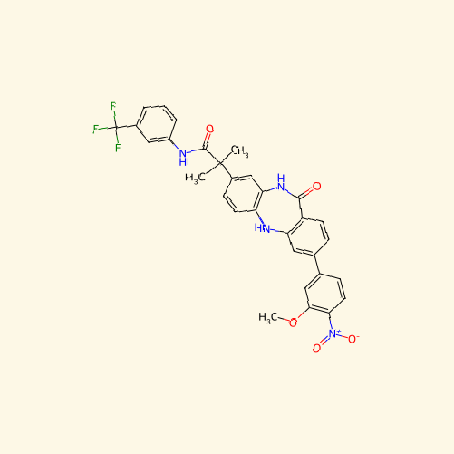 COc1cc(-c2ccc3c(c2)Nc2ccc(C(C)(C)C(=O)Nc4cccc(C(F)(F)F)c4)cc2NC3=O)ccc1[N+](=O)[O-]